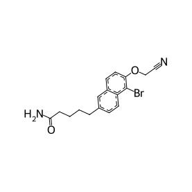 N#CCOc1ccc2cc(CCCCC(N)=O)ccc2c1Br